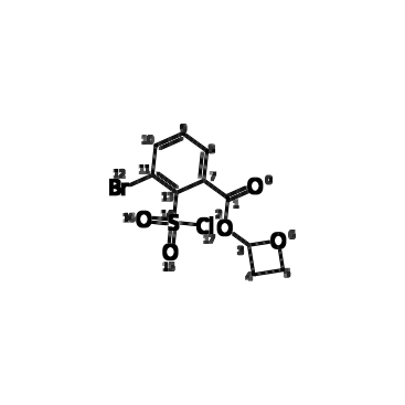 O=C(OC1CCO1)c1cccc(Br)c1S(=O)(=O)Cl